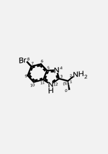 C[C@H](N)c1nc2cc(Br)ccc2[nH]1